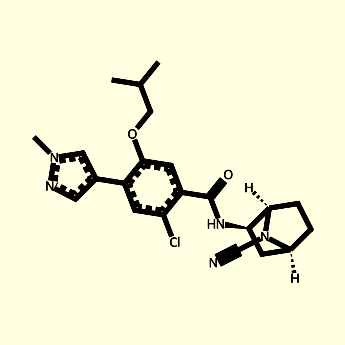 CC(C)COc1cc(C(=O)N[C@@H]2C[C@@H]3CC[C@H]2N3C#N)c(Cl)cc1-c1cnn(C)c1